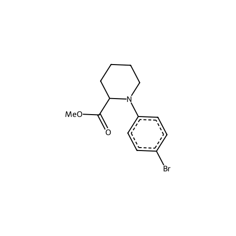 COC(=O)C1CCCCN1c1ccc(Br)cc1